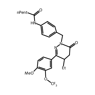 CCCCCC(=O)Nc1ccc(CN2N=C(c3ccc(OC)c(OC(F)(F)F)c3)C(CC)CC2=O)cc1